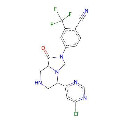 N#Cc1ccc(N2CN3C(CNCC3c3cc(Cl)ncn3)C2=O)cc1C(F)(F)F